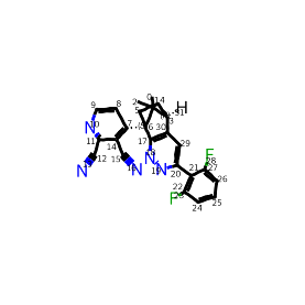 CC1(C)[C@H]2CC[C@]1(c1ccnc(C#N)c1C#N)c1nnc(-c3c(F)cccc3F)cc12